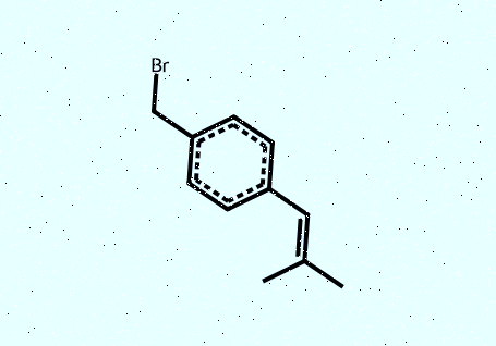 CC(C)=Cc1ccc(CBr)cc1